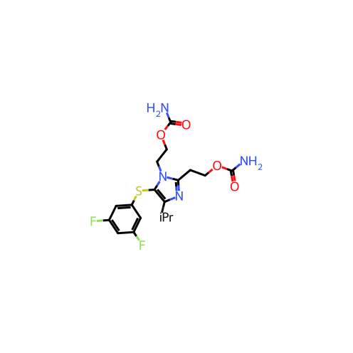 CC(C)c1nc(CCOC(N)=O)n(CCOC(N)=O)c1Sc1cc(F)cc(F)c1